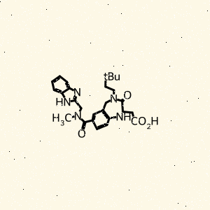 CN(Cc1nc2ccccc2[nH]1)C(=O)c1ccc2c(c1)CN(CCC(C)(C)C)C(=O)C(CC(=O)O)N2